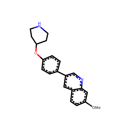 COc1ccc2cc(-c3ccc(OC4CCNCC4)cc3)cnc2c1